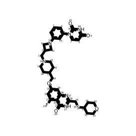 O=c1ccn(-c2cccc(N3CC(CN4CCC(COc5cc(F)c6c(=O)[nH]c(CSC7CCOCC7)nc6c5)CC4)C3)c2)c(=O)[nH]1